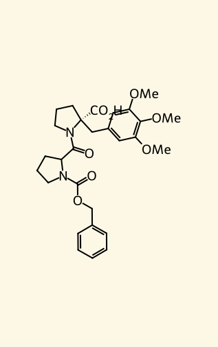 COc1cc(C[C@]2(C(=O)O)CCCN2C(=O)C2CCCN2C(=O)OCc2ccccc2)cc(OC)c1OC